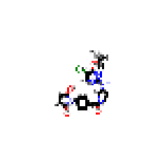 [2H]C([2H])([2H])Oc1nc(NC2CCN(C(=O)c3ccc(N4C(=O)CCC4=O)cc3)C2)ncc1Cl